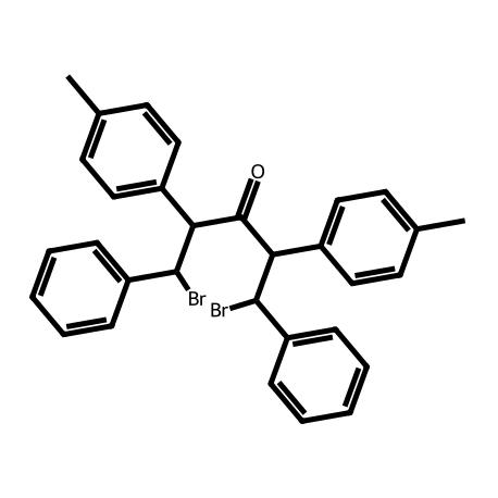 Cc1ccc(C(C(=O)C(c2ccc(C)cc2)C(Br)c2ccccc2)C(Br)c2ccccc2)cc1